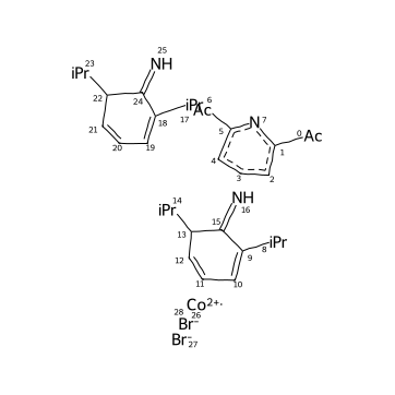 CC(=O)c1cccc(C(C)=O)n1.CC(C)C1=CC=CC(C(C)C)C1=N.CC(C)C1=CC=CC(C(C)C)C1=N.[Br-].[Br-].[Co+2]